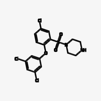 O=S(=O)(c1cc(Cl)ccc1Oc1cc(Cl)cc(Cl)c1)N1CCNCC1